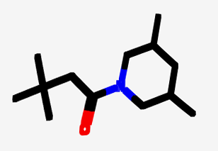 CC1CC(C)CN(C(=O)CC(C)(C)C)C1